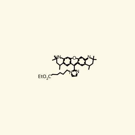 CCOC(=O)CCCCCn1ccnc1C1=c2cc3c(cc2Oc2cc4c(cc21)C(C)CC(C)(C)N4)=NC(C)(C)CC3C